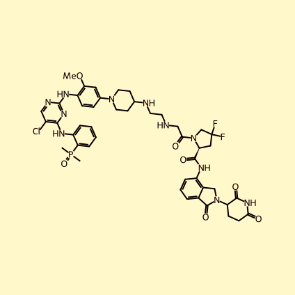 COc1cc(N2CCC(NCCNCC(=O)N3CC(F)(F)C[C@H]3C(=O)Nc3cccc4c3CN(C3CCC(=O)NC3=O)C4=O)CC2)ccc1Nc1ncc(Cl)c(Nc2ccccc2P(C)(C)=O)n1